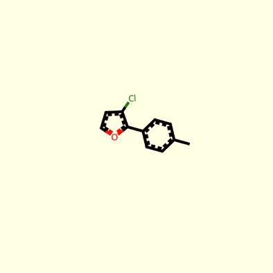 Cc1ccc(-c2occc2Cl)cc1